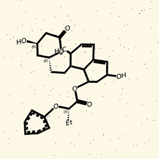 CC[C@H](Oc1ccccc1)C(=O)OC1CC(O)C=C2C=CC(C)C(CC[C@@H]3C[C@@H](O)CC(=O)O3)C21